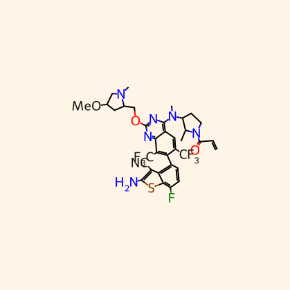 C=CC(=O)N1CCC(N(C)c2nc(OCC3CC(OC)CN3C)nc3c(C(F)(F)F)c(-c4ccc(F)c5sc(N)c(C#N)c45)c(C(F)(F)F)cc23)C1C